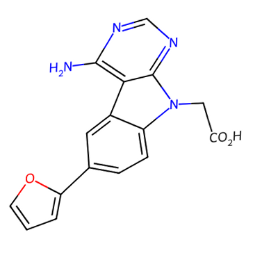 Nc1ncnc2c1c1cc(-c3ccco3)ccc1n2CC(=O)O